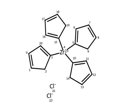 C1=CC[C]([Zr+2]([C]2=CC=CC2)([C]2=CC=CC2)[C]2=CC=CC2)=C1.[Cl-].[Cl-]